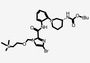 CC(C)(C)OC(=O)N[C@@H]1CCCN(c2ccccc2NC(=O)c2nc(Br)cn2COCC[Si](C)(C)C)C1